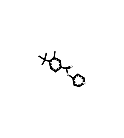 Cc1cc(C(=O)Oc2ccncc2)ccc1C(C)(C)C